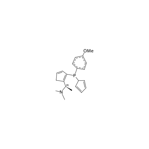 COc1ccc(P(C2=C([C@@H](C)N(C)C)CC=C2)C2C=CC=C2)cc1